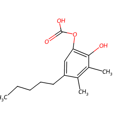 CCCCCc1cc(OC(=O)O)c(O)c(C)c1C